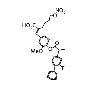 COc1cc(/C=C(\CCCCO[N+](=O)[O-])C(=O)O)ccc1OC(=O)C(C)c1ccc(-c2ccccc2)c(F)c1